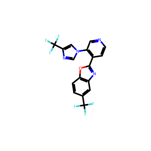 FC(F)(F)c1ccc2oc(-c3ccncc3-n3cnc(C(F)(F)F)c3)nc2c1